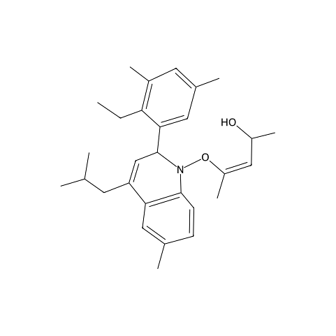 CCc1c(C)cc(C)cc1C1C=C(CC(C)C)c2cc(C)ccc2N1O/C(C)=C\C(C)O